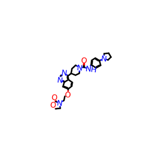 O=C(Nc1ccc(N2CCCC2)cc1)N1CCC(c2ncnc3cc(OCCN4CCOC4=O)ccc23)CC1